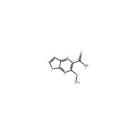 CSc1nc2sccc2nc1C(=O)O